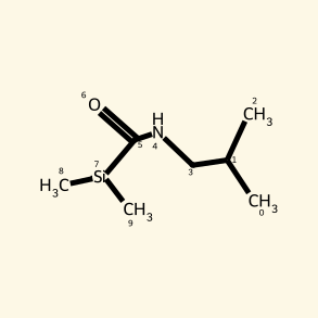 CC(C)CNC(=O)[Si](C)C